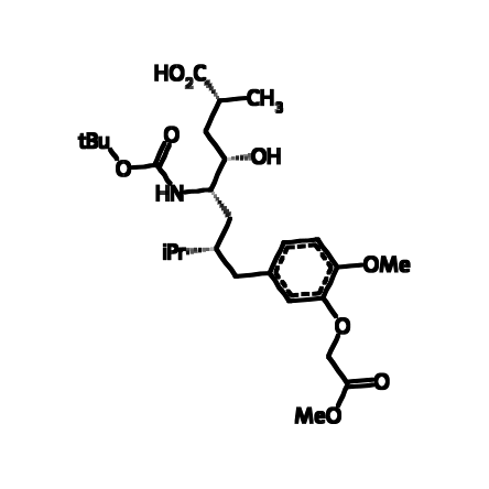 COC(=O)COc1cc(C[C@@H](C[C@H](NC(=O)OC(C)(C)C)[C@@H](O)C[C@@H](C)C(=O)O)C(C)C)ccc1OC